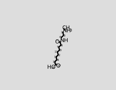 CNCCCNC(=O)CCCCCCCCC(=O)O